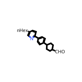 CCCCCCc1ccc(-c2ccc(C3CCC(C=O)CC3)cc2)nc1